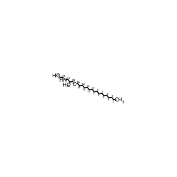 CCCCCCCCCCCCCCCCCOCC(O)CNCCO